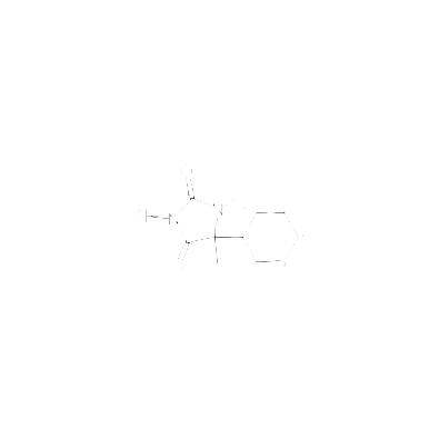 CC1(C2CCCCC2)C(=O)N(Cl)C(=O)N1Cl